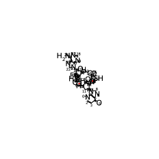 Cn1ccc(=O)c2ncn([C@@H]3C[C@@H]4OP(=O)(S)[C@H]5[C@@H](F)[C@H](n6cnc7c(N)ncnc76)O[C@@H]5COP(=O)(S)O[C@@H]3[C@@H]4O)c21